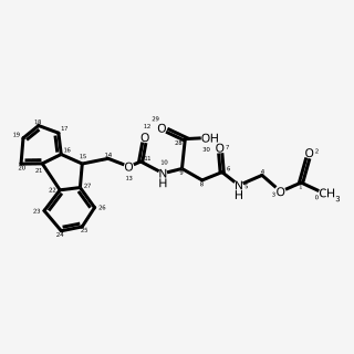 CC(=O)OCNC(=O)CC(NC(=O)OCC1c2ccccc2-c2ccccc21)C(=O)O